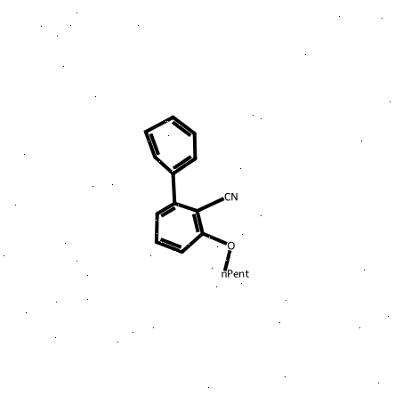 CCCCCOc1cccc(-c2ccccc2)c1C#N